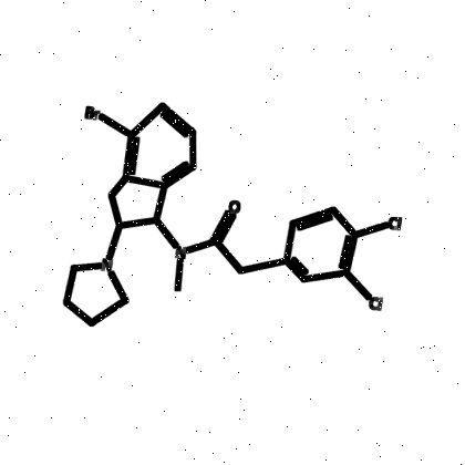 CN(C(=O)Cc1ccc(Cl)c(Cl)c1)C1c2cccc(Br)c2CC1N1CCCC1